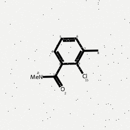 CNC(=O)c1cccc(C)c1Cl